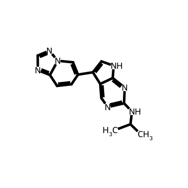 CC(C)Nc1ncc2c(-c3ccc4ncnn4c3)c[nH]c2n1